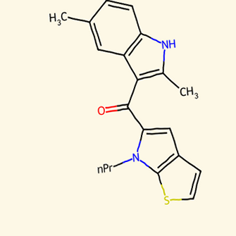 CCCn1c(C(=O)c2c(C)[nH]c3ccc(C)cc23)cc2ccsc21